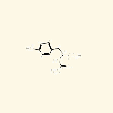 NC(=O)N[C@H](Cc1ccc(O)cc1)C(=O)O